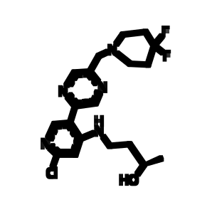 C[C@@H](O)CCNc1cc(Cl)ncc1-c1cnc(CN2CCC(F)(F)CC2)cn1